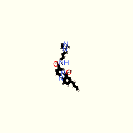 CCCCc1ccc2nc3ccc(C(=O)NCCCCn4ccnc4)cn3c(=O)c2c1